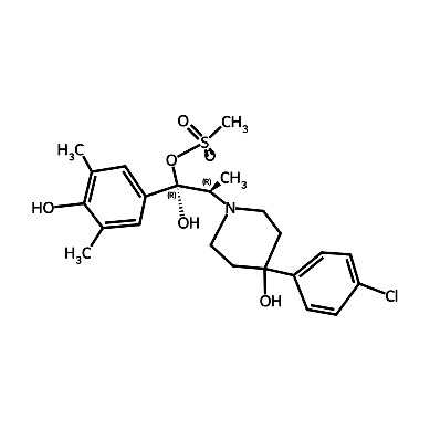 Cc1cc([C@@](O)(OS(C)(=O)=O)[C@@H](C)N2CCC(O)(c3ccc(Cl)cc3)CC2)cc(C)c1O